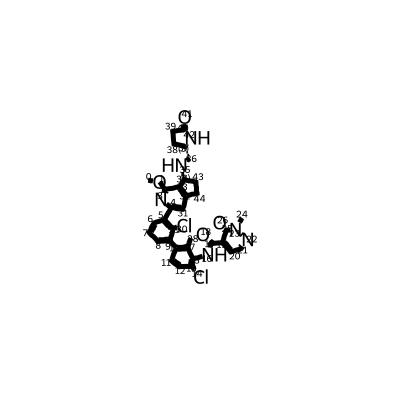 COc1nc(-c2cccc(-c3ccc(Cl)c(NC(=O)c4ccnn(C)c4=O)c3C)c2Cl)cc2c1[C@@H](NC[C@@H]1CCC(=O)N1)CC2